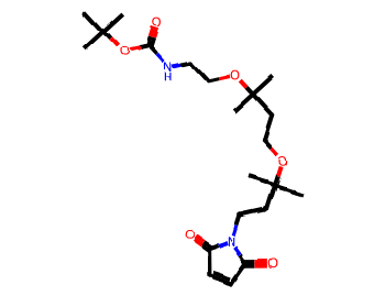 CC(C)(C)OC(=O)NCCOC(C)(C)CCOC(C)(C)CCN1C(=O)C=CC1=O